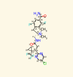 CN(C)[C@H](CNC(=O)C[C@@H](c1ncc(Cl)cn1)C1(C(F)(F)F)CC1)Cc1cc(F)c(C(N)=O)cc1F